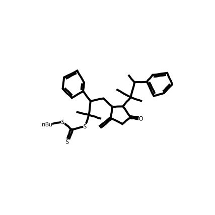 C=C1CC(=O)C(C(C)(C)C(C)c2ccccc2)C1CC(c1ccccc1)C(C)(C)SC(=S)SCCCC